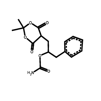 CC1(C)OC(=O)C(CC(Cc2ccccc2)OC(N)=O)C(=O)O1